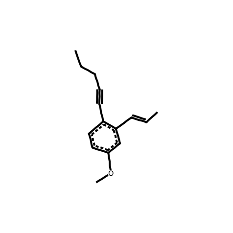 C/C=C/c1cc(OC)ccc1C#CCCC